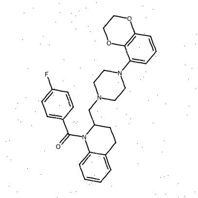 O=C(c1ccc(F)cc1)N1c2ccccc2CCC1CN1CCN(c2cccc3c2OCCO3)CC1